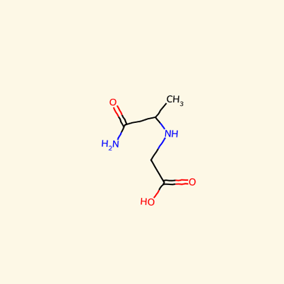 CC(NCC(=O)O)C(N)=O